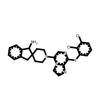 NC1c2ccccc2CC12CCN(c1cnc(Sc3cccc(Cl)c3Cl)c3nccn13)CC2